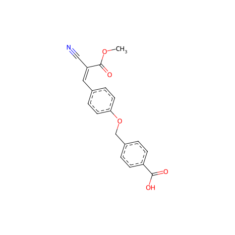 COC(=O)C(C#N)=Cc1ccc(OCc2ccc(C(=O)O)cc2)cc1